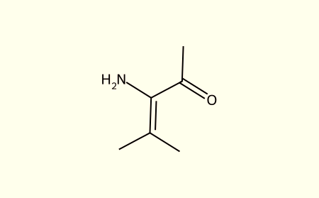 CC(=O)C(N)=C(C)C